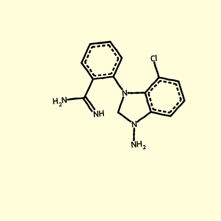 N=C(N)c1ccccc1N1CN(N)c2cccc(Cl)c21